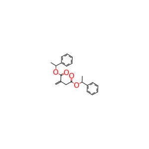 C=C(CC(=O)OC(C)c1ccccc1)C(=O)OC(C)c1ccccc1